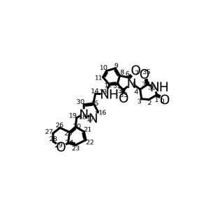 O=C1CCC(N2C(=O)c3cccc(NCc4cnn(Cc5cccc6c5CCCO6)c4)c3C2=O)C(=O)N1